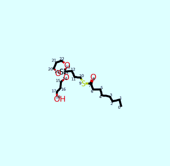 CCCCCCCC(=O)SCCC[Si]1(OCCCO)OCCCO1